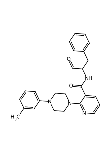 Cc1cccc(N2CCN(c3ncccc3C(=O)NC(C=O)Cc3ccccc3)CC2)c1